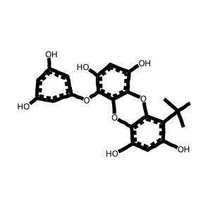 CC(C)(C)c1c(O)cc(O)c2c1Oc1c(O)cc(O)c(Oc3cc(O)cc(O)c3)c1O2